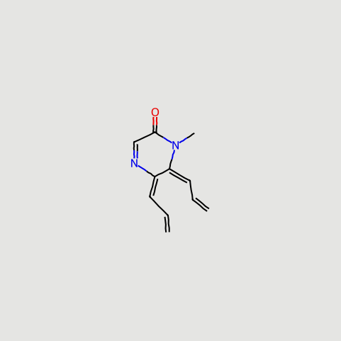 C=C/C=c1/ncc(=O)n(C)/c1=C/C=C